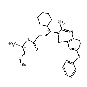 CC(C)(C)OC[C@@H](NC(=O)CC[C@@H](C1CCCCC1)N1Cc2cc(Oc3ccccc3)ncc2N=C1N)C(=O)O